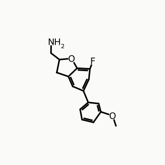 COc1cccc(-c2cc(F)c3c(c2)CC(CN)O3)c1